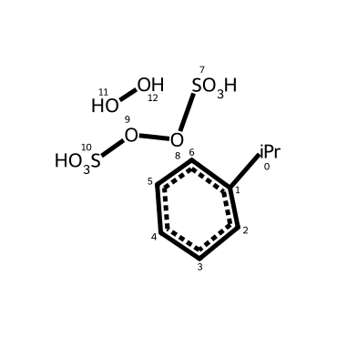 CC(C)c1ccccc1.O=S(=O)(O)OOS(=O)(=O)O.OO